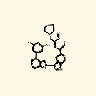 C=C/C(=C\C(=C/C)c1cc2c(-c3cc4c(-c5cc(O)cc(F)c5)cncc4[nH]3)n[nH]c2cn1)CN1CCCCC1